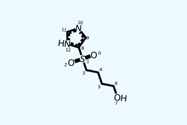 O=S(=O)(CCCCO)c1cnc[nH]1